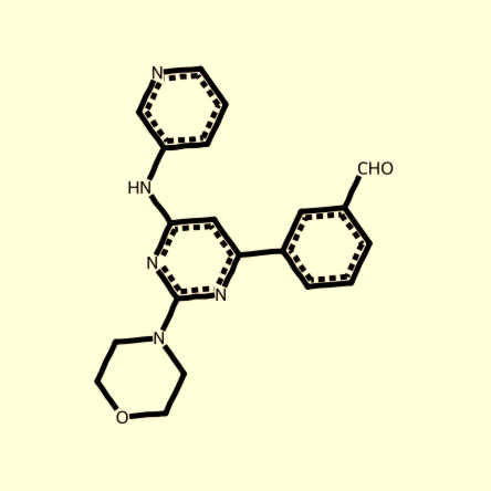 O=Cc1cccc(-c2cc(Nc3cccnc3)nc(N3CCOCC3)n2)c1